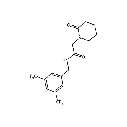 O=C(CN1CCCCC1=O)NCc1cc(C(F)(F)F)cc(C(F)(F)F)c1